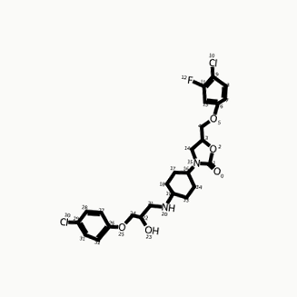 O=C1OC(COc2ccc(Cl)c(F)c2)CN1C1CCC(NCC(O)COc2ccc(Cl)cc2)CC1